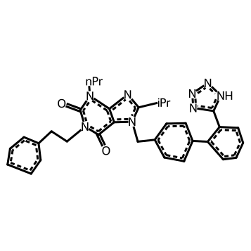 CCCn1c(=O)n(CCc2ccccc2)c(=O)c2c1nc(C(C)C)n2Cc1ccc(-c2ccccc2-c2nnn[nH]2)cc1